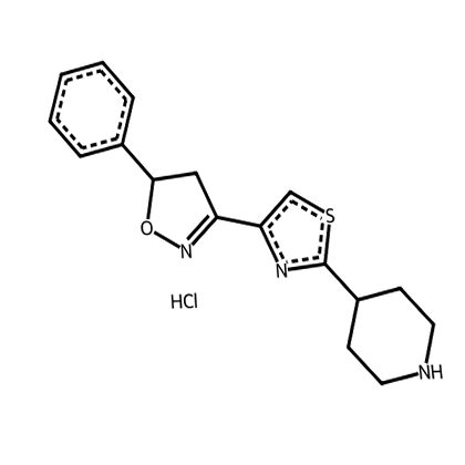 Cl.c1ccc(C2CC(c3csc(C4CCNCC4)n3)=NO2)cc1